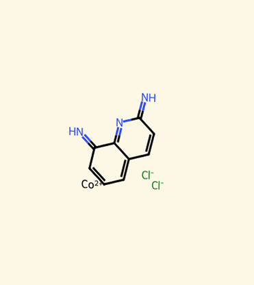 N=C1C=CC2=CC=CC(=N)C2=N1.[Cl-].[Cl-].[Co+2]